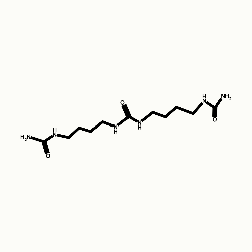 NC(=O)NCCCCNC(=O)NCCCCNC(N)=O